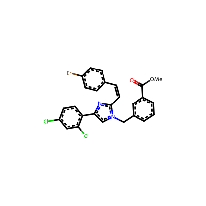 COC(=O)c1cccc(Cn2cc(-c3ccc(Cl)cc3Cl)nc2C=Cc2ccc(Br)cc2)c1